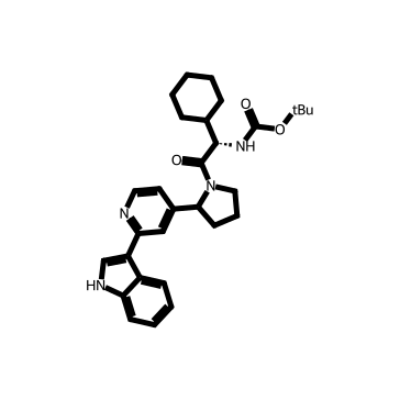 CC(C)(C)OC(=O)N[C@H](C(=O)N1CCCC1c1ccnc(-c2c[nH]c3ccccc23)c1)C1CCCCC1